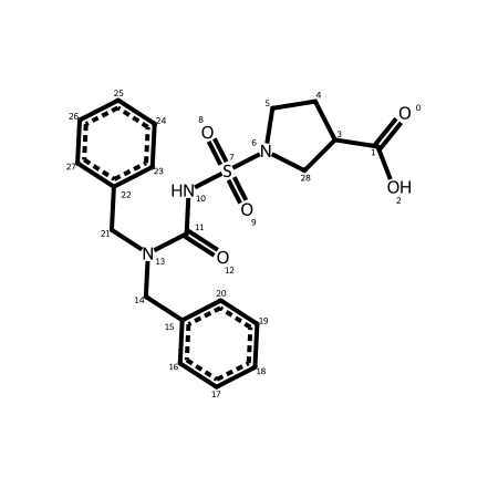 O=C(O)C1CCN(S(=O)(=O)NC(=O)N(Cc2ccccc2)Cc2ccccc2)C1